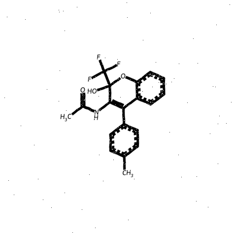 CC(=O)NC1=C(c2ccc(C)cc2)c2ccccc2OC1(O)C(F)(F)F